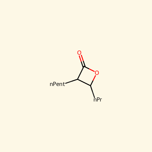 CCCCCC1C(=O)OC1CCC